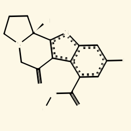 C=C(OC)c1cc(F)cc2[nH]c3c(c12)C(=O)CN1CCC[C@]31C